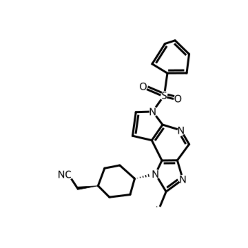 [CH2]c1nc2cnc3c(ccn3S(=O)(=O)c3ccccc3)c2n1[C@H]1CC[C@H](CC#N)CC1